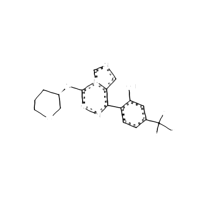 Oc1cc(C(F)(F)F)ccc1-c1nnc(N[C@@H]2CCCOC2)n2cncc12